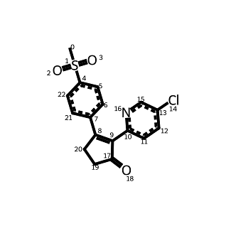 CS(=O)(=O)c1ccc(C2=C(c3ccc(Cl)cn3)C(=O)CC2)cc1